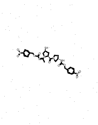 CC(=NC(=O)OCc1ccc([N+](=O)[O-])cc1)N1C[C@@H](S)C[C@H]1C(=O)N1CC[C@H](NC(=O)OCc2ccc([N+](=O)[O-])cc2)C1